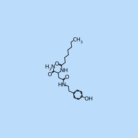 CCCCCCCC(=O)NC(CC(=O)NCCc1ccc(O)cc1)C(N)=O